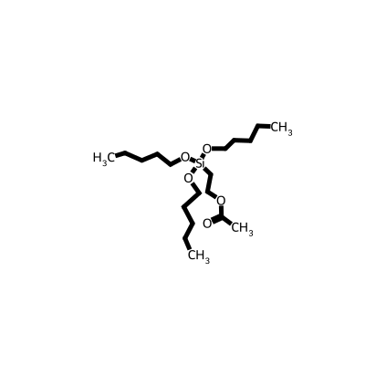 CCCCCO[Si](CCOC(C)=O)(OCCCCC)OCCCCC